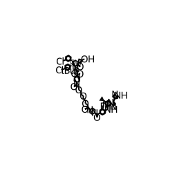 CC(C)(C)[C@@H](CS(=O)(=O)N1CCN(C(=O)COCCOCCOCC(=O)N2CCN(C(=O)c3ccc(Nc4nc(C5CC5)cn5c(-c6cn[nH]c6)cnc45)c(F)c3)CC2)CC1)N1C(=O)[C@]2(C=C(O)C2)C[C@H](c2cccc(Cl)c2)[C@H]1c1ccc(Cl)cc1